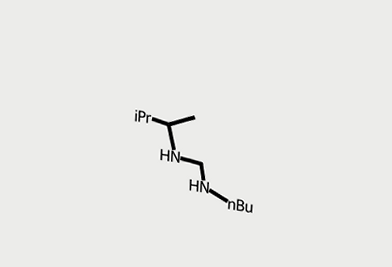 CCCCNCNC(C)C(C)C